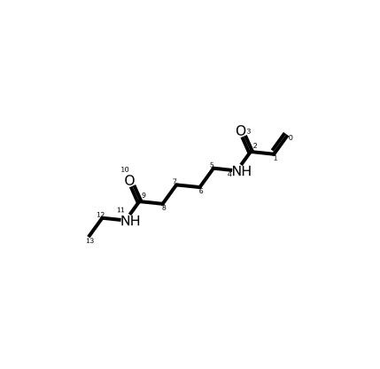 C=CC(=O)NCCCCC(=O)NCC